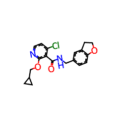 O=C(NCc1ccc2c(c1)CCO2)c1c(Cl)ccnc1OCC1CC1